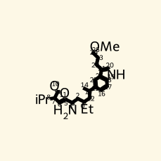 CCC(CC(N)C1=CC(C(C)C)C(=O)O1)CC(C)c1ccc2[nH]cc(CCCOC)c2c1